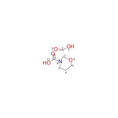 O=C(O)[C@@H]1OCCCN1C(=O)O